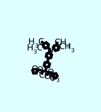 Cc1ccc(N(c2ccc(-c3ccc(C(C(C)OC4CCCO4)C(C)OC4CCCO4)cc3)cc2)c2ccc(C)c(C)c2)cc1C